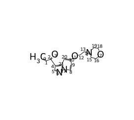 CCC(=O)c1cnn2ccc(OCCN3CCOCC3)cc12